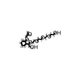 OCCOCCOCCOCCOC(CO)c1ccccc1OCC1CO1